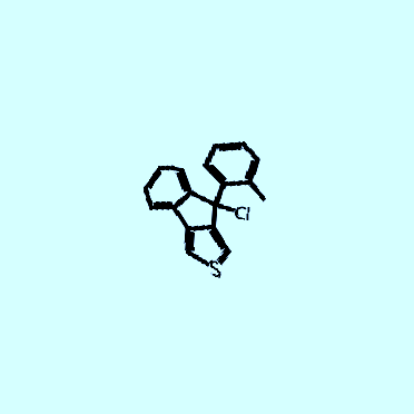 Cc1ccccc1C1(Cl)c2ccccc2-c2cscc21